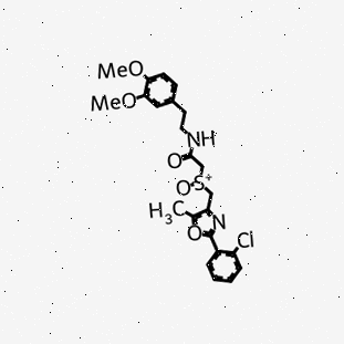 COc1ccc(CCNC(=O)C[S+]([O-])Cc2nc(-c3ccccc3Cl)oc2C)cc1OC